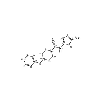 CC(C)c1cnc(NC(=O)N2CCN(Cc3ccccc3)CC2)s1